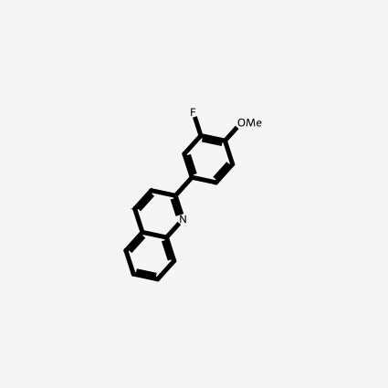 COc1ccc(-c2c[c]c3ccccc3n2)cc1F